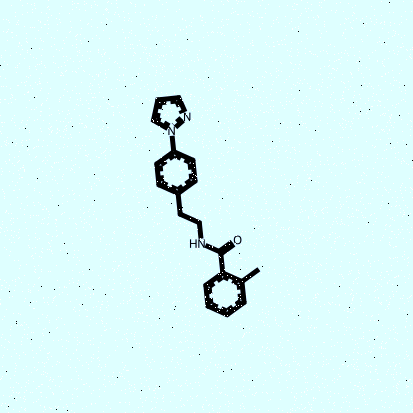 Cc1ccccc1C(=O)NCCc1ccc(-n2cccn2)cc1